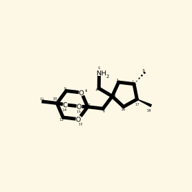 C[C@H]1CC(CN)(CC23OCC(C)(CO2)CO3)C[C@@H]1C